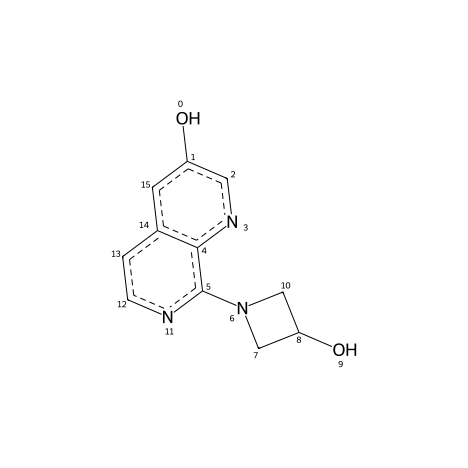 Oc1cnc2c(N3CC(O)C3)nccc2c1